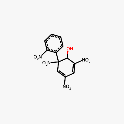 O=[N+]([O-])C1=CC(c2ccccc2[N+](=O)[O-])([N+](=O)[O-])C(O)C([N+](=O)[O-])=C1